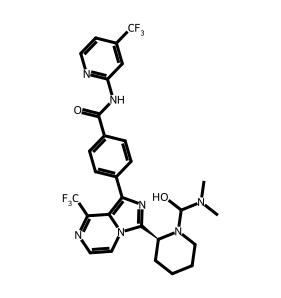 CN(C)C(O)N1CCCC[C@H]1c1nc(-c2ccc(C(=O)Nc3cc(C(F)(F)F)ccn3)cc2)c2c(C(F)(F)F)nccn12